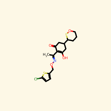 CC(=NOCc1ccc(Cl)s1)C1=C(O)CC(C2CCCOS2)CC1=O